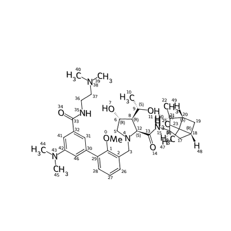 COc1c(CN2C[C@H](O)[C@@H]([C@H](C)O)[C@H]2C(=O)N[C@@H]2C[C@H]3C[C@@H]([C@@H]2C)C3(C)C)cccc1-c1cc(C(=O)NCCN(C)C)cc(N(C)C)c1